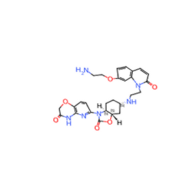 NCCOc1ccc2ccc(=O)n(CCN[C@H]3CC[C@H]4[C@H](C3)OC(=O)N4c3ccc4c(n3)NC(=O)CO4)c2c1